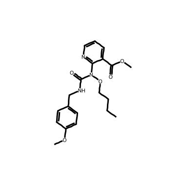 CCCCON(C(=O)NCc1ccc(OC)cc1)c1ncccc1C(=O)OC